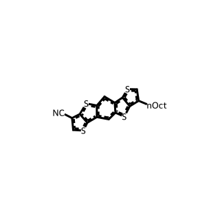 CCCCCCCCc1csc2c1sc1cc3c(cc12)sc1c(C#N)csc13